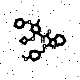 COc1ccc(COc2nn3ccccc3c2C(=O)Nc2cc(C)c(Oc3ccccc3)cc2OC2CCC2)cc1